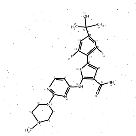 CN1CCN(c2nccc(Nc3sc(-c4c(F)cc(C(C)(C)O)cc4F)cc3C(N)=O)n2)CC1